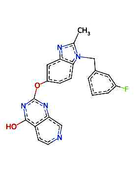 Cc1nc2cc(Oc3nc(O)c4ccncc4n3)ccc2n1Cc1cccc(F)c1